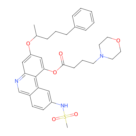 CC(CCCc1ccccc1)Oc1cc(OC(=O)CCCN2CCOCC2)c2c(c1)ncc1ccc(NS(C)(=O)=O)cc12